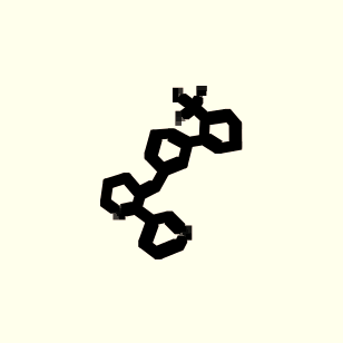 FC(F)(F)c1ccccc1-c1cccc(C=C2CCCN=C2c2cccnc2)c1